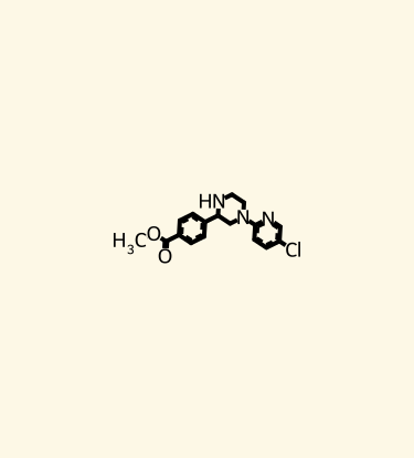 COC(=O)c1ccc(C2CN(c3ccc(Cl)cn3)CCN2)cc1